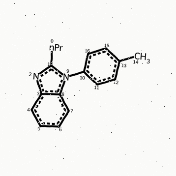 CCCc1nc2ccccc2n1-c1ccc(C)cc1